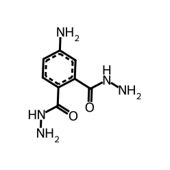 NNC(=O)c1ccc(N)cc1C(=O)NN